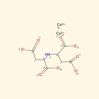 O=C([O-])CC(NC(CC(=O)[O-])C(=O)[O-])C(=O)[O-].[Co+2].[Co+2]